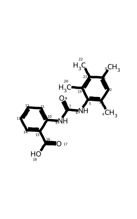 Cc1cc(C)c(NC(=O)Nc2ccccc2C(=O)O)c(C)c1C